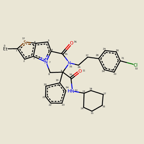 CCc1cc2c(cc3n2CC(C(=O)NC2CCCCC2)(c2ccccc2)N(CCc2ccc(Cl)cc2)C3=O)s1